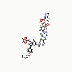 O=C1CCC(N2C(=O)c3ccc(N4CCN(CC5CCN(Cc6ccc7c(c6)c(-c6ccc(OC(F)(F)F)cc6)cn7CC6OCCO6)CC5)CC4)cc3C2=O)C(=O)N1